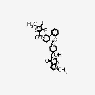 Cc1sc(C(=O)N2CC[C@@H](C(=O)N3CCC(O)(Cn4cnc5c(ccn5C)c4=O)CC3)[C@H](c3ccccc3)C2)c(F)c1I